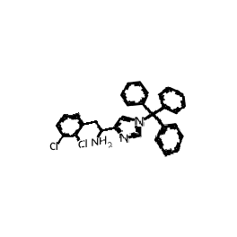 NC(Cc1cccc(Cl)c1Cl)c1cn(C(c2ccccc2)(c2ccccc2)c2ccccc2)cn1